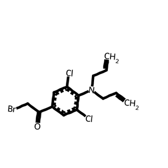 C=CCN(CC=C)c1c(Cl)cc(C(=O)CBr)cc1Cl